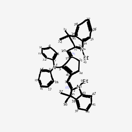 CCN1/C(=C\C2=C(N(c3ccccc3)c3ccccc3)C(=C/C3=[N+](CC)c4ccccc4C3(C)C)/CC2)C(C)(C)c2ccccc21